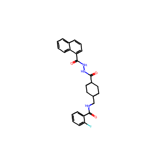 O=C(NCC1CCC(C(=O)NNC(=O)c2cccc3ccccc23)CC1)c1ccccc1F